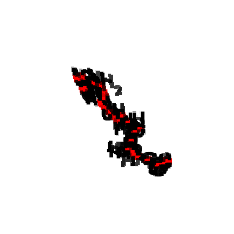 CC(CNC(=O)OCc1ccc(NC(=O)CNC(=O)C(NC(=O)OCCOCCNS(=O)(=O)NC(=O)OCCCNC(=O)CCCC(=O)ON2C(=O)CCC2=O)C(C)C)cc1)Oc1ccc(-c2cnc(N)c(C(=O)Nc3cnccc3N3CCOCC3)n2)cc1